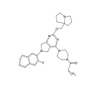 C=CC(=O)N1CCN(c2nc(OCC34CCCN3CCC4)nc3c2CN(c2cc4ccccc4cc2F)C3)CC1